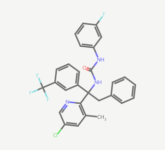 Cc1cc(Cl)cnc1C(Cc1ccccc1)(NC(=O)Nc1cccc(F)c1)c1cccc(C(F)(F)F)c1